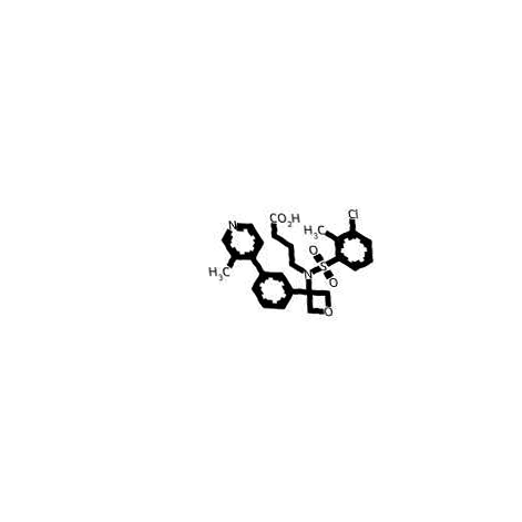 Cc1cnccc1-c1cccc(C2(N(CCCC(=O)O)S(=O)(=O)c3cccc(Cl)c3C)COC2)c1